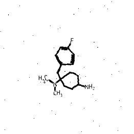 CN(C)C1(Cc2ccc(F)cc2)CCC(N)CC1